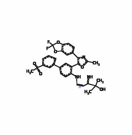 Cc1nc(-c2ccc3c(c2)OC(F)(F)O3)c(-c2cc(-c3cccc(S(C)(=O)=O)c3)ccc2N/C=C\C(=N)C(C)(C)O)o1